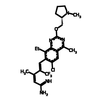 CCc1c(/C=C(/C(C)=C\C(=N)N)C(F)(F)F)c(Cl)cc2c(C)nc(OC[C@@H]3CCCN3C)nc12